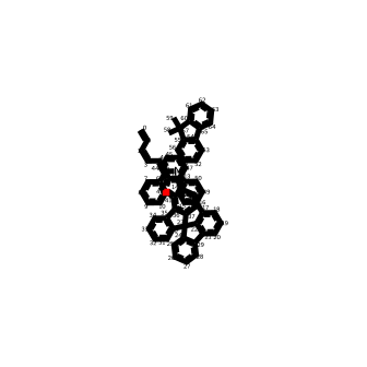 C=C/C=C\C=C(/c1ccccc1)N(c1ccc(-c2cccc3c2C2(c4ccccc4-3)c3ccccc3-c3c2ccc2c3sc3ccccc32)cc1)c1ccc2c(c1)C(C)(C)c1ccccc1-2